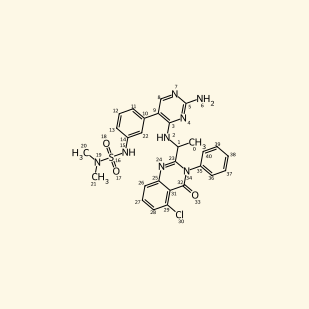 CC(Nc1nc(N)ncc1-c1cccc(NS(=O)(=O)N(C)C)c1)c1nc2cccc(Cl)c2c(=O)n1-c1ccccc1